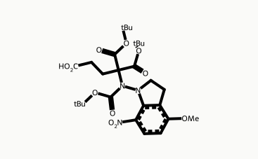 COc1ccc([N+](=O)[O-])c2c1CCN2N(C(=O)OC(C)(C)C)C(CCC(=O)O)(C(=O)OC(C)(C)C)C(=O)OC(C)(C)C